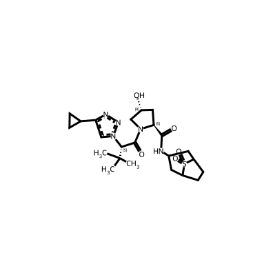 CC(C)(C)[C@@H](C(=O)N1C[C@H](O)C[C@H]1C(=O)NC1CC2CCC(C1)S2(=O)=O)n1cc(C2CC2)nn1